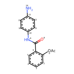 CC(=O)Oc1ccccc1C(=O)Nc1ccc(N)cc1